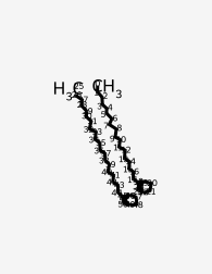 CCCCCCCCCCCCCCCCCCC1=C2CCC(C1)C2.CCCCCCCCCCCCCCCCCCCCC1=C2CCC(C1)C2